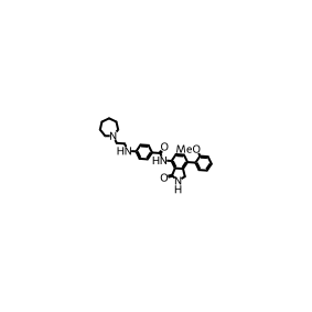 COc1ccccc1-c1ccc(NC(=O)c2ccc(NCCN3CCCCCC3)cc2)c2c1CNC2=O